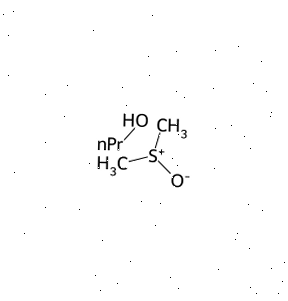 CCCO.C[S+](C)[O-]